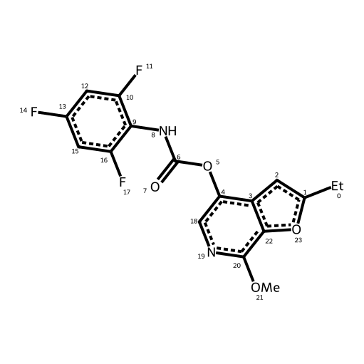 CCc1cc2c(OC(=O)Nc3c(F)cc(F)cc3F)cnc(OC)c2o1